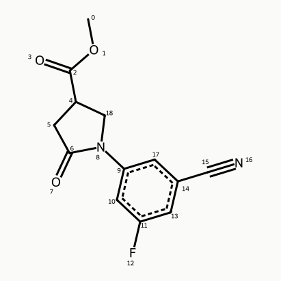 COC(=O)C1CC(=O)N(c2cc(F)cc(C#N)c2)C1